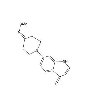 CON=C1CCN(c2ccc3c(=O)cc[nH]c3c2)CC1